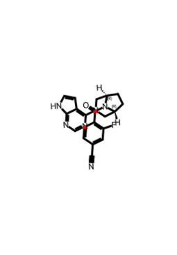 N#Cc1ccc(C(=O)N2[C@@H]3CC[C@@H]2CN(c2ncnc4[nH]ccc24)C3)c(F)c1